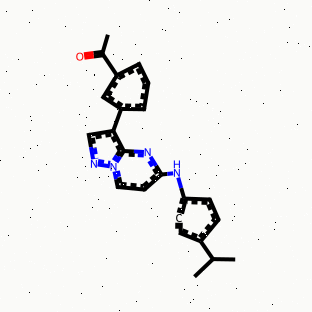 CC(=O)c1cccc(-c2cnn3ccc(Nc4ccc(C(C)C)cc4)nc23)c1